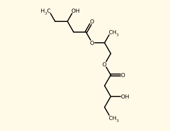 CCC(O)CC(=O)OCC(C)OC(=O)CC(O)CC